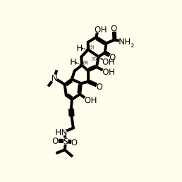 CC(C)S(=O)(=O)NCC#Cc1cc(N(C)C)c2c(c1O)C(=O)C1=C(O)[C@]3(O)C(=O)C(C(N)=O)=C(O)C[C@@H]3C[C@@H]1C2